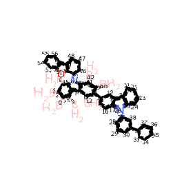 Bc1c(B)c(B)c2c(c1B)c1c(B)c(-c3ccc4c(c3)c3ccccc3n4-c3cccc(-c4ccccc4)c3)c(B)c(B)c1n2-c1cccc2c1oc1ccccc12